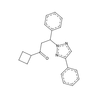 O=C(CC(c1ccccc1)n1ncc(-c2ccccc2)n1)C1CCC1